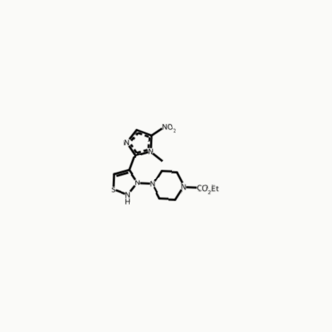 CCOC(=O)N1CCN(N2NSC=C2c2ncc([N+](=O)[O-])n2C)CC1